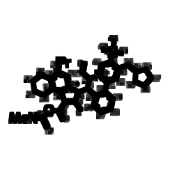 C=CC1C(C2C(C)=C(C(=C)OC(=C)NC)c3c4c(c(C(C)C)c[n+]32)CCCC4)c2ccccc2-c2cc(CC3CCCC3)c([Si](C)(C)C)c[n+]21